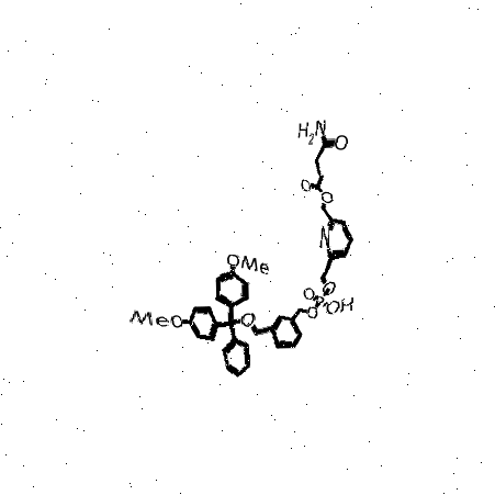 COc1ccc(C(OCc2cccc(COP(=O)(O)OCc3cccc(COC(=O)CCC(N)=O)n3)c2)(c2ccccc2)c2ccc(OC)cc2)cc1